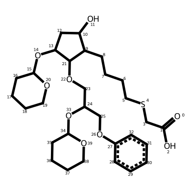 O=C(O)CSCCCCC1C(O)CC(OC2CCCCO2)C1OCC(COc1ccccc1)OC1CCCCO1